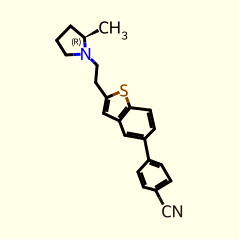 C[C@@H]1CCCN1CCc1cc2cc(-c3ccc(C#N)cc3)ccc2s1